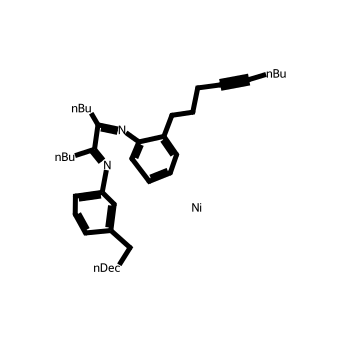 CCCCC#CCCCc1ccccc1N=C(CCCC)C(CCCC)=Nc1cccc(CCCCCCCCCCC)c1.[Ni]